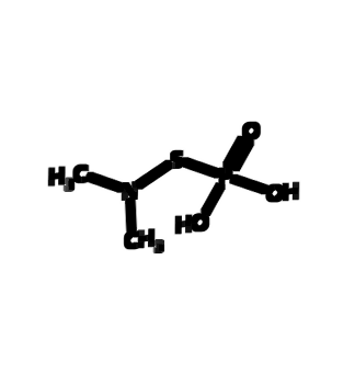 CN(C)SP(=O)(O)O